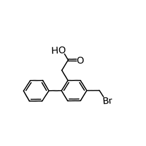 O=C(O)Cc1cc(CBr)ccc1-c1ccccc1